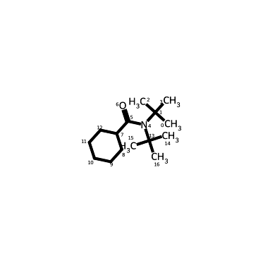 CC(C)(C)N(C(=O)C1CCCCC1)C(C)(C)C